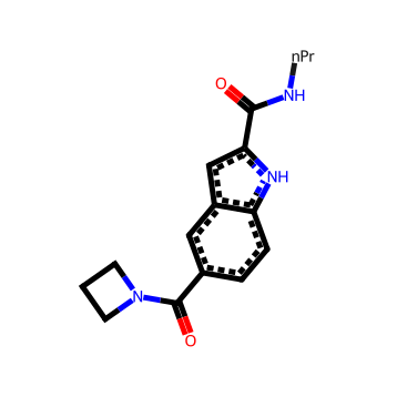 CCCNC(=O)c1cc2cc(C(=O)N3CCC3)ccc2[nH]1